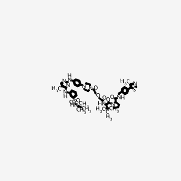 Cc1cnc(Nc2ccc(N3CCN(C(=O)COCC(=O)N[C@H](C(=O)N4CCCC4C(=O)NCc4ccc(-c5scnc5C)cc4)C(C)(C)C)CC3)cc2)nc1Nc1cccc(S(=O)(=O)NC(C)(C)C)c1